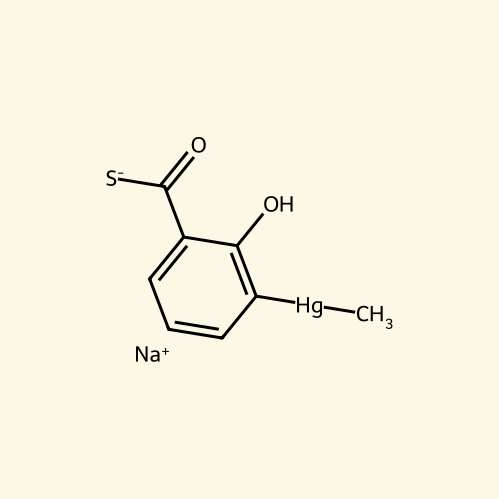 [CH3][Hg][c]1cccc(C(=O)[S-])c1O.[Na+]